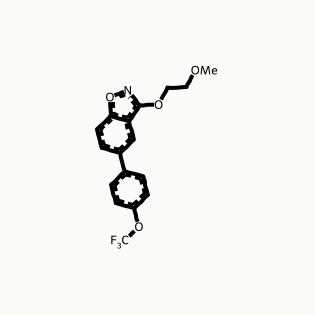 COCCOc1noc2ccc(-c3ccc(OC(F)(F)F)cc3)cc12